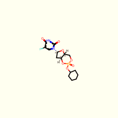 O=c1[nH]c(=O)n([C@H]2C[C@@H]3OP(=O)(OC4CCCCC4)OC[C@H]3O2)cc1F